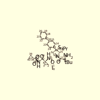 C=C[C@@H]1C[C@]1(NC(=O)[C@@H]1C[C@@](SC(C)C)(c2ccc(-c3ccccc3)cc2)CN1C(=O)[C@@H](N)C(C)(C)C)C(=O)NS(=O)(=O)C1CC1